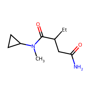 CC[C](CC(N)=O)C(=O)N(C)C1CC1